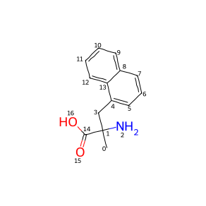 CC(N)(Cc1cccc2ccccc12)C(=O)O